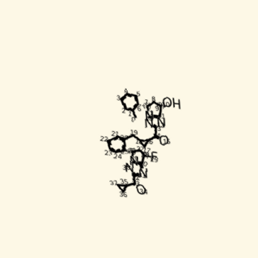 Cc1ccccc1[C@@H]1C[C@@H](O)c2nc(C(=O)C3CC3Cc3ccccc3[C@@H]3C[C@@H](F)c4nc(C(=O)C5CC5)nn43)nn21